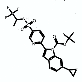 CC(NS(=O)(=O)c1ccc(-c2cc3ccc(C4CC4)cc3n2C(=O)OC(C)(C)C)nc1)C(F)(F)F